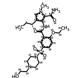 CCCc1cn(C)c(C(N)=O)c1NC(=O)c1cc(S(=O)(=O)N2CCN(CCO)CC2)ccc1OCC